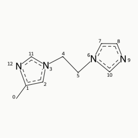 Cc1cn(CCn2ccnc2)cn1